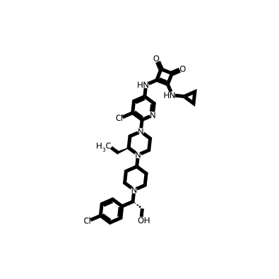 CC[C@H]1CN(c2ncc(Nc3c(NC4CC4)c(=O)c3=O)cc2Cl)CCN1C1CCN([C@H](CO)c2ccc(Cl)cc2)CC1